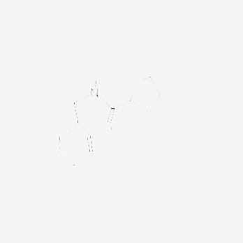 C[C@H]1CCC(C(=O)N(C)Cc2ccccc2)C1